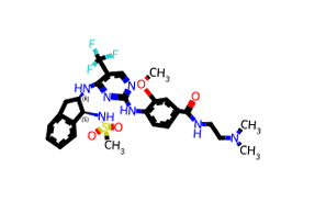 COc1cc(C(=O)NCCN(C)C)ccc1Nc1ncc(C(F)(F)F)c(N[C@@H]2Cc3ccccc3[C@@H]2NS(C)(=O)=O)n1